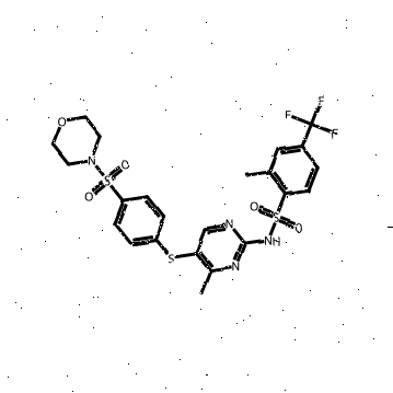 Cc1cc(C(F)(F)F)ccc1S(=O)(=O)Nc1ncc(Sc2ccc(S(=O)(=O)N3CCOCC3)cc2)c(C)n1